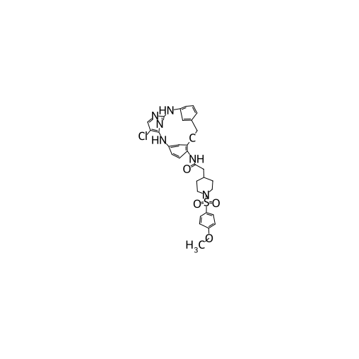 COc1ccc(S(=O)(=O)N2CCC(CC(=O)Nc3ccc4cc3CCc3cccc(c3)Nc3ncc(Cl)c(n3)N4)CC2)cc1